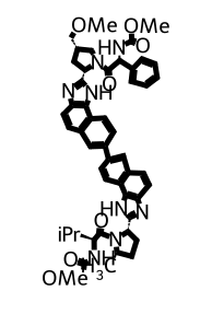 COC[C@H]1C[C@@H](c2nc3ccc4cc(-c5ccc6c(ccc7nc([C@@H]8CC[C@H](C)N8C(=O)[C@@H](NC(=O)OC)C(C)C)[nH]c76)c5)ccc4c3[nH]2)N(C(=O)[C@H](NC(=O)OC)c2ccccc2)C1